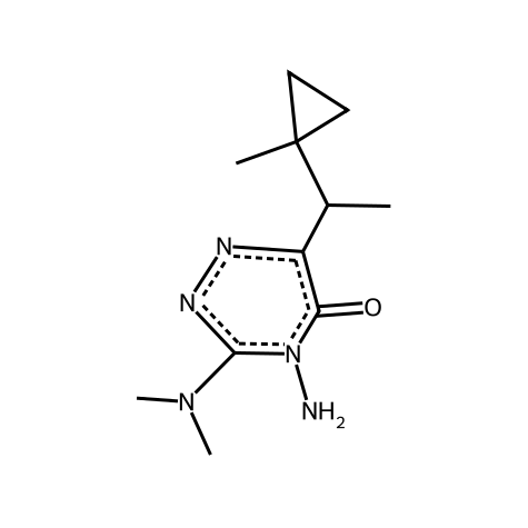 CC(c1nnc(N(C)C)n(N)c1=O)C1(C)CC1